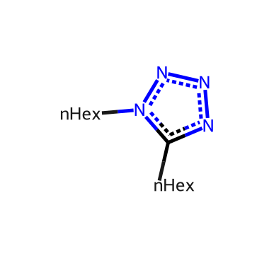 CCCCCCc1nnnn1CCCCCC